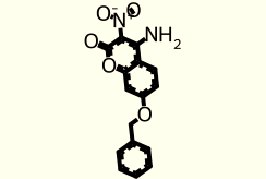 Nc1c([N+](=O)[O-])c(=O)oc2cc(OCc3ccccc3)ccc12